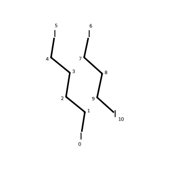 ICCCCI.ICCCI